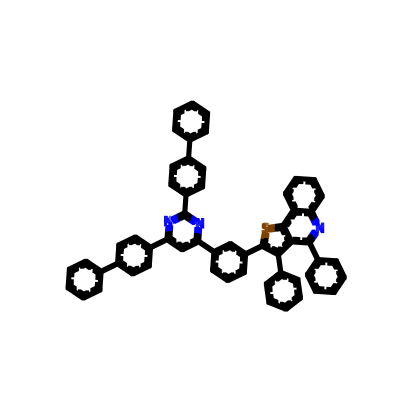 c1ccc(-c2ccc(-c3cc(-c4cccc(-c5sc6c(c(-c7ccccc7)nc7ccccc76)c5-c5ccccc5)c4)nc(-c4ccc(-c5ccccc5)cc4)n3)cc2)cc1